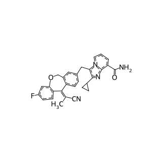 C/C(C#N)=C1/c2ccc(Cc3c(C4CC4)nc4c(C(N)=O)cccn34)cc2COc2cc(F)ccc21